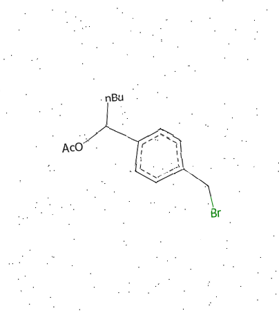 CCCCC(OC(C)=O)c1ccc(CBr)cc1